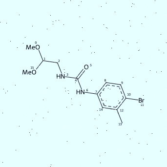 COC(CNC(=O)Nc1ccc(Br)c(C)c1)OC